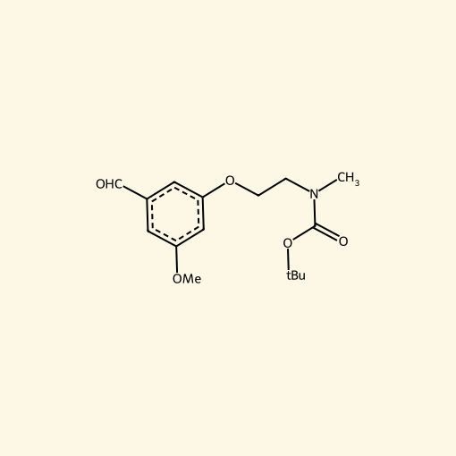 COc1cc(C=O)cc(OCCN(C)C(=O)OC(C)(C)C)c1